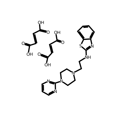 O=C(O)C=CC(=O)O.O=C(O)C=CC(=O)O.c1cnc(N2CCN(CCNc3nc4ccccc4s3)CC2)nc1